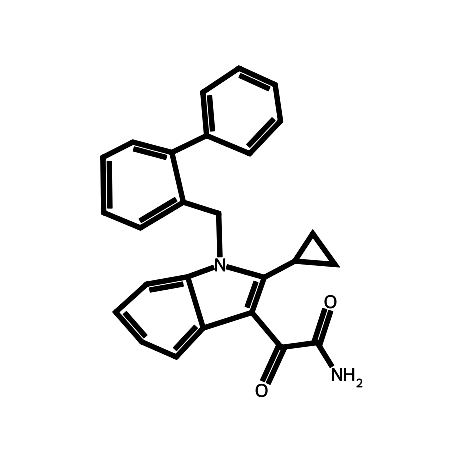 NC(=O)C(=O)c1c(C2CC2)n(Cc2ccccc2-c2ccccc2)c2ccccc12